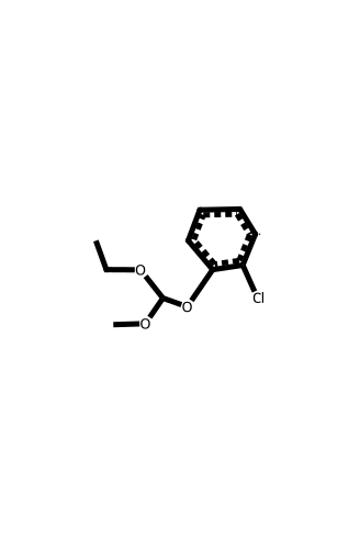 CCOC(OC)Oc1ccc[c]c1Cl